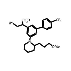 COCCCC1CCCCN1c1cc(-c2ccc(C(F)(F)F)cc2)cc(C(CC(C)C)C(=O)O)c1